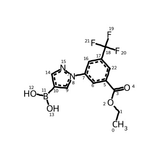 CCOC(=O)c1cc(-n2cc(B(O)O)cn2)cc(C(F)(F)F)c1